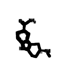 CN[C@H]1CCc2[nH]c3ccc(C(N)=O)cc3c2C1